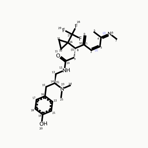 C=C(/C=C\C(C)=N/C)[C@H](CC(=O)NC[C@H](Cc1ccc(O)cc1)N(C)C)C1(C(F)(F)F)CC1